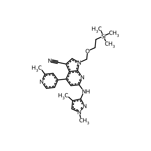 Cc1cc(-c2cc(Nc3nn(C)cc3C)nc3c2c(C#N)cn3COCC[Si](C)(C)C)ccn1